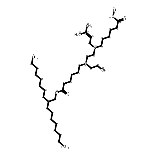 CCCCCCCCC(CCCCCCCC)COC(=O)CCCCCN(CCO)CCN(CC=C(C)C)CCCCCC(=O)OCl